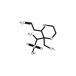 C=CCC1NCCOC1(CC)C(C)S(=O)(=O)O